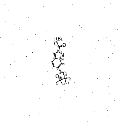 CC(C)(C)OC(=O)n1cc2ccc(B3OC(C)(C)C(C)(C)O3)cc2n1